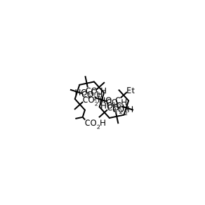 CCC(C)(CC(C)(CC(C)(CC(C)(CC(C)(CC(C)(CC(C)(CC(C)(CC(C)(CC(C)C(=O)O)C(=O)O)C(=O)O)C(=O)O)C(=O)O)C(=O)O)C(=O)O)C(=O)O)C(=O)O)C(=O)O